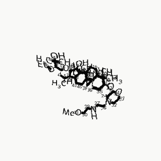 CCO[C@@H]([C@H]1C[C@@H](C)[C@H]2[C@H](O1)[C@H](O)[C@@]1(C)[C@@H]3CC[C@H]4C(C)(C)[C@@H](O[C@H]5CN(CCNCCOC)CCO5)CC[C@@]45C[C@@]35CC[C@]21C)C(C)(C)O